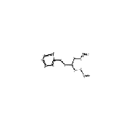 COCC[C](CCOC)CCc1ccccc1